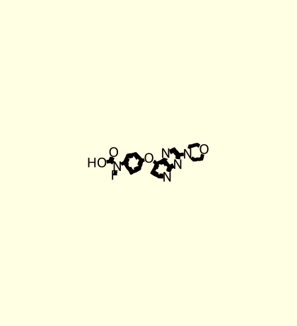 O=C(O)N(F)c1ccc(Oc2ccnc3nc(N4CCOCC4)cnc23)cc1